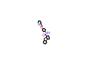 O=C(Nc1ccc(OCc2ccccn2)cc1)c1cccc2c1Cc1ccccc1-2